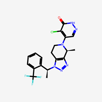 C[C@H]1c2nnn([C@@H](C)c3ccccc3C(F)(F)F)c2CCN1c1cn[nH]c(=O)c1Cl